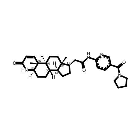 C[C@]12C=CC(=O)N[C@@H]1CC[C@@H]1[C@@H]2CC[C@]2(C)[C@@H](CC(=O)Nc3ccc(C(=O)N4CCCC4)cn3)CC[C@@H]12